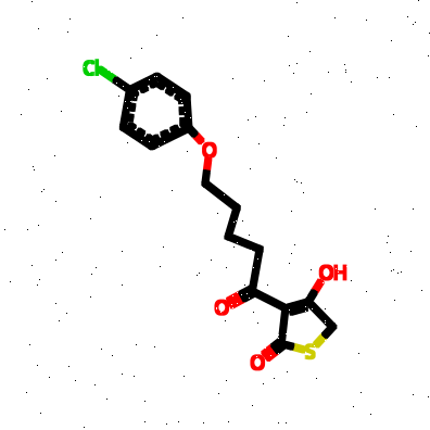 O=C(CCCCOc1ccc(Cl)cc1)C1=C(O)CSC1=O